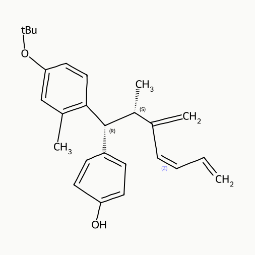 C=C/C=C\C(=C)[C@@H](C)[C@H](c1ccc(O)cc1)c1ccc(OC(C)(C)C)cc1C